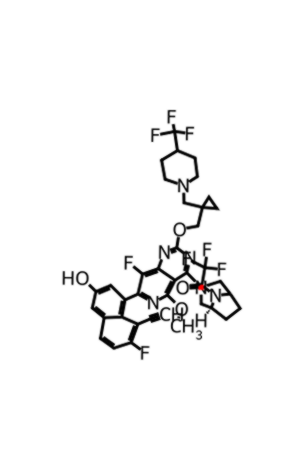 C#Cc1c(F)ccc2cc(O)cc(-c3nc(OC)c4c(N5CC6CC[C@@H](C5)N6C(=O)C(F)(F)F)nc(OCC5(CN6CCC(C(F)(F)F)CC6)CC5)nc4c3F)c12